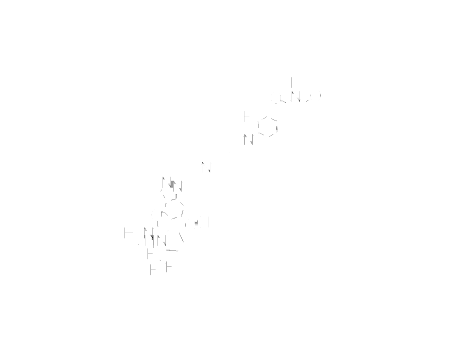 COc1cc2c(cnn2C2CCN(C3CC4(CCN(c5ccc(C6CCC(=O)NC6=O)cc5F)CC4)C3)CC2)cc1C1(C(N)=O)C=CC=C(C(F)(F)F)N1